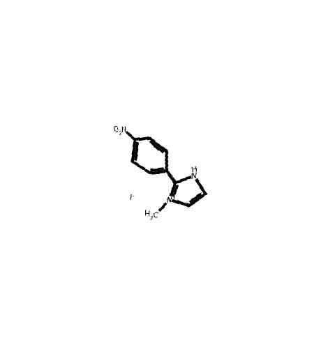 C[n+]1cc[nH]c1-c1ccc([N+](=O)[O-])cc1.[I-]